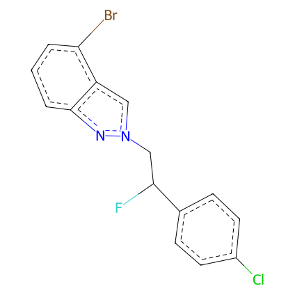 FC(Cn1cc2c(Br)cccc2n1)c1ccc(Cl)cc1